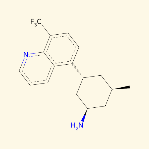 C[C@H]1C[C@@H](N)C[C@H](c2ccc(C(F)(F)F)c3ncccc23)C1